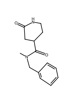 CN(Cc1ccccc1)C(=O)C1CCNC(=O)C1